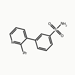 CC(C)c1ncccc1-c1cccc(S(N)(=O)=O)c1